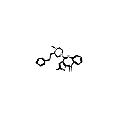 Cc1cc2c(s1)Nc1ccccc1N=C2N1CCN(C)C(CCc2ccccc2)C1